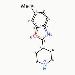 COc1ccc2nc(C3CCNCC3)oc2c1